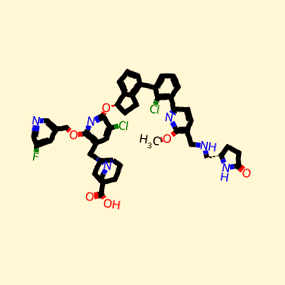 COc1nc(-c2cccc(-c3cccc4c3CC[C@@H]4Oc3nc(OCc4cncc(F)c4)c(CN4CC5(C(=O)O)CCC4CC5)cc3Cl)c2Cl)ccc1CNC[C@@H]1CCC(=O)N1